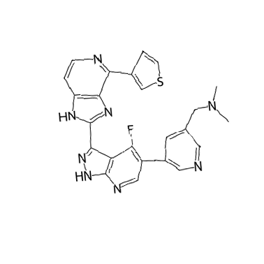 CN(C)Cc1cncc(-c2cnc3[nH]nc(-c4nc5c(-c6ccsc6)nccc5[nH]4)c3c2F)c1